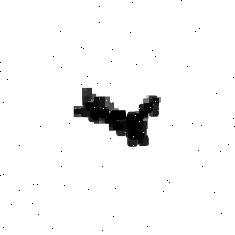 CC(C)C(=O)OC[C@H]1O[C@@H](n2ccc(NOC(=O)[C@@H](N)[C@H](C)O)nc2=O)[C@@H]2OC(=O)C(=O)O[C@@H]21